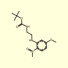 COc1ccc([N+](C)=O)c(NCCNC(=O)OC(C)(C)C)c1